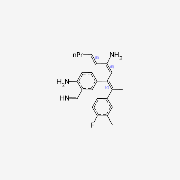 CCC/C=C/C(N)=C\C(=C(/C)c1ccc(F)c(C)c1)c1ccc(N)c(C=N)c1